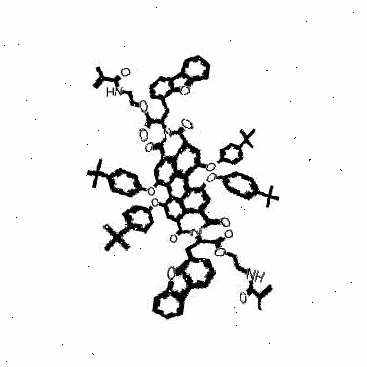 C=C(C)C(=O)NCCOC(=O)C(Cc1cccc2c1oc1ccccc12)N1C(=O)c2cc(Oc3ccc(C(C)(C)C)cc3)c3c4c(Oc5ccc(C(C)(C)C)cc5)cc5c6c(cc(Oc7ccc(C(C)(C)C)cc7)c(c7c(Oc8ccc(C(C)(C)C)cc8)cc(c2c37)C1=O)c64)C(=O)N(C(Cc1cccc2c1oc1ccccc12)C(=O)OCCNC(=O)C(=C)C)C5=O